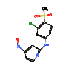 CS(=O)(=O)c1ccc(Nc2cc(N=O)ccn2)cc1Cl